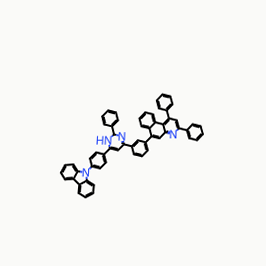 C1=C(c2ccc(-n3c4ccccc4c4ccccc43)cc2)NC(c2ccccc2)N=C1c1cccc(-c2cc3nc(-c4ccccc4)cc(-c4ccccc4)c3c3ccccc23)c1